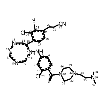 C=C(c1ccc(Nn2ccnccncc2-c2ccc(CCC#N)c(F)c2Cl)cc1Cl)N1CCN(CCN(C)C)CC1